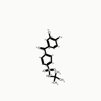 CC(C)(C)NS(=O)(=O)c1ccc(C(=O)c2ccc(F)c(Cl)c2)cc1